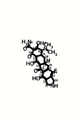 CN(C)[C@@H]1C(O)=C(C(N)=O)C(=O)C2C(O)=C3C(=O)c4c(O)c5c(c(F)c4C[C@H]3CC21)CNC5